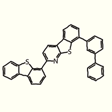 c1ccc(-c2cccc(-c3cccc4c3sc3nc(-c5cccc6c5sc5ccccc56)ccc34)c2)cc1